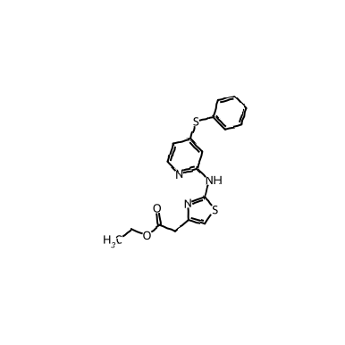 CCOC(=O)Cc1csc(Nc2cc(Sc3ccccc3)ccn2)n1